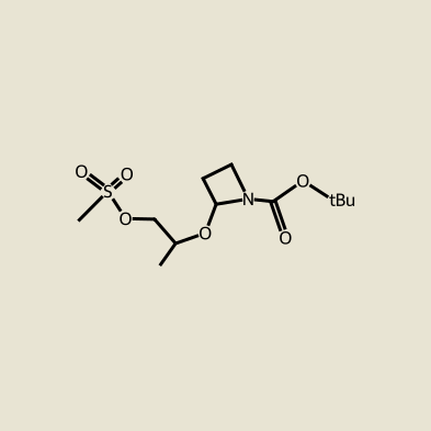 CC(COS(C)(=O)=O)OC1CCN1C(=O)OC(C)(C)C